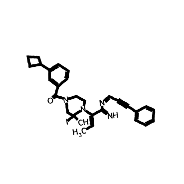 CC=C(C(=N)/N=C\C#Cc1ccccc1)N1CCN(C(=O)c2cccc(C3CCC3)c2)CC1(C)I